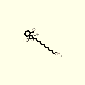 CCCCCCCCCCCCCC1(C(=O)O)CC=CCC1C(=O)O